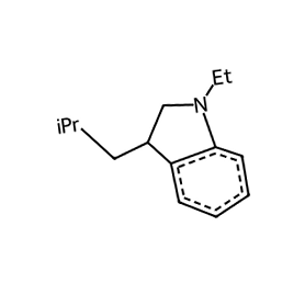 CCN1CC(CC(C)C)c2ccccc21